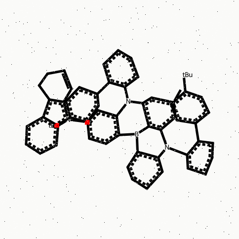 Cc1cc2c3c(c1)N(c1ccccc1-c1ccc(C(C)(C)C)cc1)c1cc(-n4c5c(c6ccccc64)CCC=C5)ccc1B3c1ccccc1N2c1ccccc1-c1ccc(C(C)(C)C)cc1